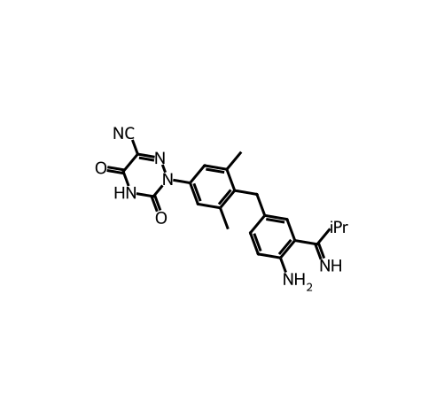 Cc1cc(-n2nc(C#N)c(=O)[nH]c2=O)cc(C)c1Cc1ccc(N)c(C(=N)C(C)C)c1